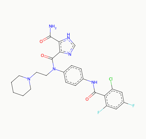 NC(=O)c1[nH]cnc1C(=O)N(CCN1CCCCC1)c1ccc(NC(=O)c2c(F)cc(F)cc2Cl)cc1